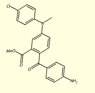 COC(=O)c1cc(N(C)c2ccc(Cl)cc2)ccc1C(=O)c1ccc(N)cc1